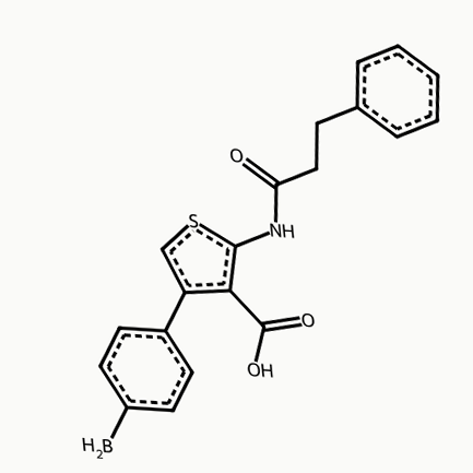 Bc1ccc(-c2csc(NC(=O)CCc3ccccc3)c2C(=O)O)cc1